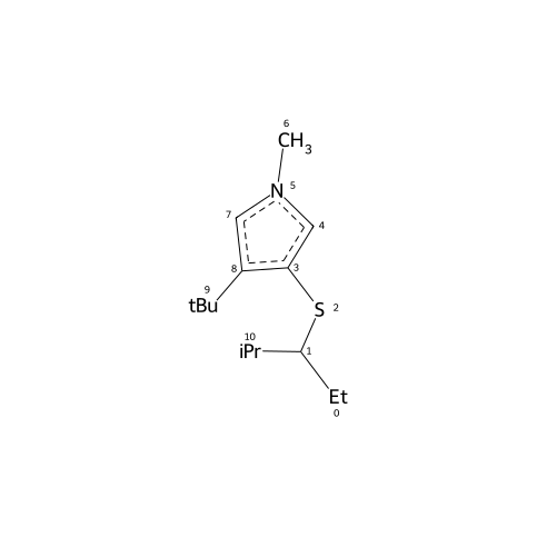 CCC(Sc1cn(C)cc1C(C)(C)C)C(C)C